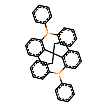 c1ccc(P(c2ccccc2)c2cccc3c2C2(CC3)CCc3cccc(P(c4ccccc4)c4ccccc4)c32)cc1